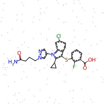 NC(=O)CCCn1cc(-n2c(C3CC3)c(Sc3cccc(C(=O)O)c3F)c3ccc(Cl)cc32)cn1